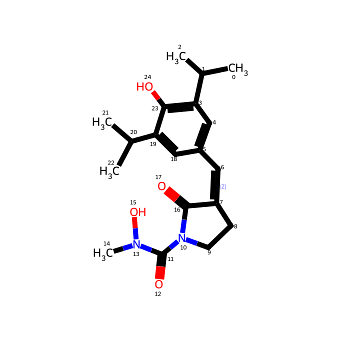 CC(C)c1cc(/C=C2/CCN(C(=O)N(C)O)C2=O)cc(C(C)C)c1O